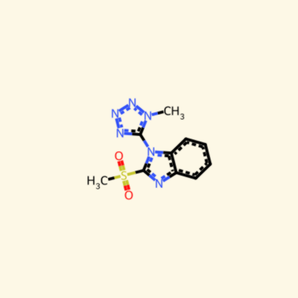 Cn1nnnc1-n1c(S(C)(=O)=O)nc2ccccc21